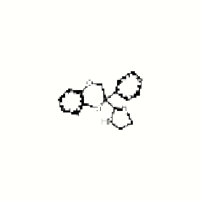 c1ccc(C2(C3=NCCN3)COc3ccccc3O2)cc1